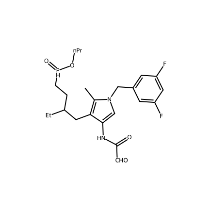 CCCO[PH](=O)CCC(CC)Cc1c(NC(=O)C=O)cn(Cc2cc(F)cc(F)c2)c1C